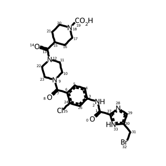 O=C(Nc1ccc(C(=O)N2CCN(C(=O)C3CCN(C(=O)O)CC3)CC2)c(Cl)c1)c1ncc(CBr)[nH]1